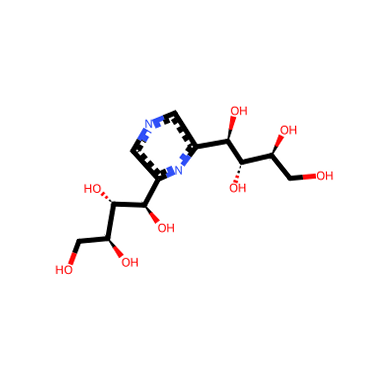 OC[C@H](O)[C@H](O)[C@H](O)c1cncc([C@@H](O)[C@@H](O)[C@@H](O)CO)n1